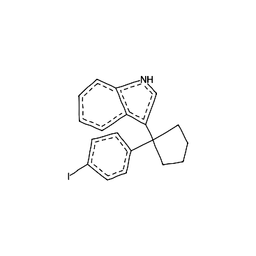 Ic1ccc(C2(c3c[nH]c4ccccc34)CCCC2)cc1